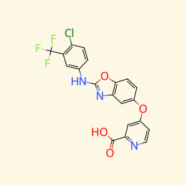 O=C(O)c1cc(Oc2ccc3oc(Nc4ccc(Cl)c(C(F)(F)F)c4)nc3c2)ccn1